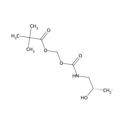 [CH2][C@H](O)CNC(=O)OCOC(=O)C(C)(C)C